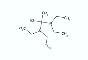 CCN(CC)C(C)(O)N(CC)CC